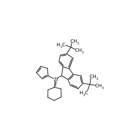 CC(C)(C)c1ccc2c(c1)-c1cc(C(C)(C)C)ccc1[CH]2[Zr]([C]1=CC=CC1)=[C]1CCCCC1